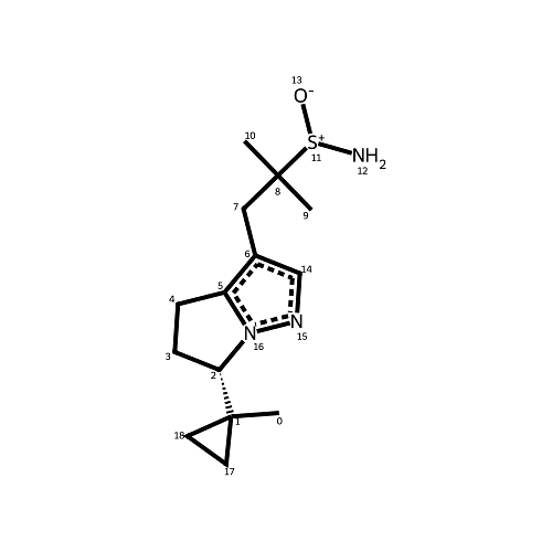 CC1([C@@H]2CCc3c(CC(C)(C)[S+](N)[O-])cnn32)CC1